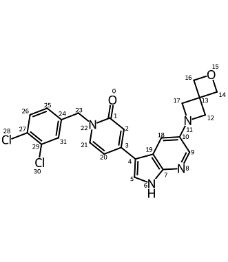 O=c1cc(-c2c[nH]c3ncc(N4CC5(COC5)C4)cc23)ccn1Cc1ccc(Cl)c(Cl)c1